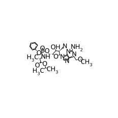 COCc1nc(N)nc2c1ncn2[C@@H]1O[C@H](CO[P@](=O)(N[C@@H](C)C(=O)OC(C)C)Oc2ccccc2)[C@@H](O)[C@H]1C#N